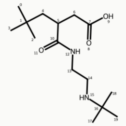 CC(C)(C)CC(CC(=O)O)C(=O)NCCNC(C)(C)C